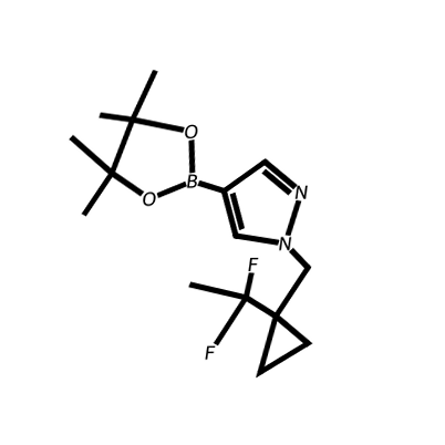 CC(F)(F)C1(Cn2cc(B3OC(C)(C)C(C)(C)O3)cn2)CC1